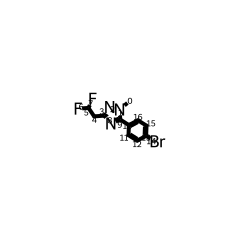 Cn1nc(CC(F)F)nc1-c1ccc(Br)cc1